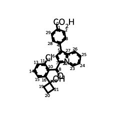 O=C(O)c1ccc(-c2cc(C(=O)c3c(Cl)cccc3C3(O)CCC3)n3ccccc23)cc1